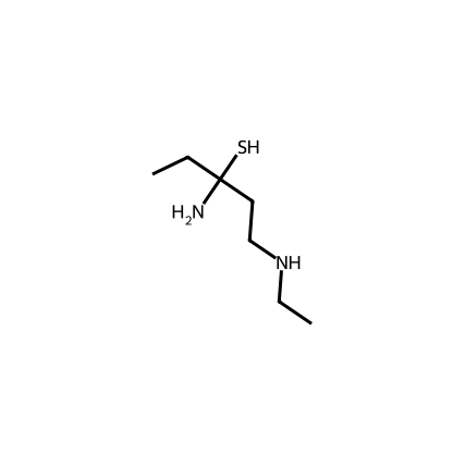 CCNCCC(N)(S)CC